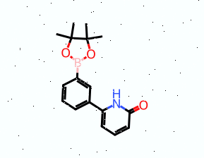 CC1(C)OB(c2cccc(-c3cccc(=O)[nH]3)c2)OC1(C)C